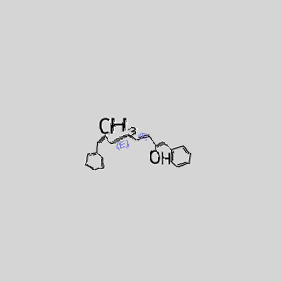 CC(=Cc1ccccc1)/C=C/C=C/C(O)=Cc1ccccc1